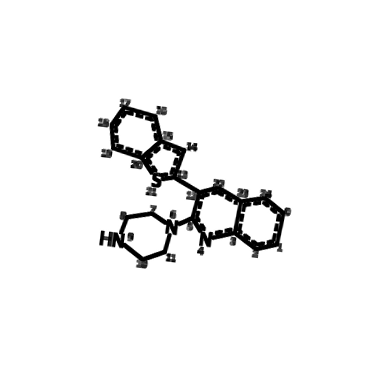 c1ccc2nc(N3CCNCC3)c(-c3cc4ccccc4s3)cc2c1